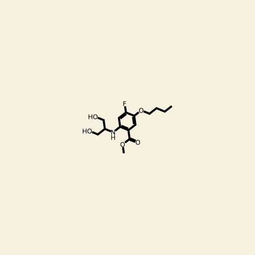 CCCCOc1cc(C(=O)OC)c(NC(CO)CO)cc1F